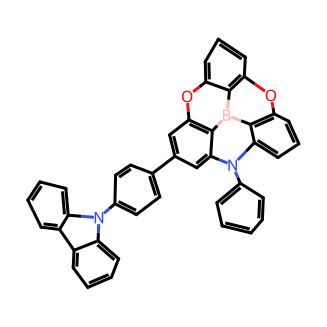 c1ccc(N2c3cccc4c3B3c5c(cccc5Oc5cc(-c6ccc(-n7c8ccccc8c8ccccc87)cc6)cc2c53)O4)cc1